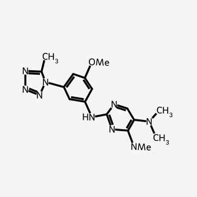 CNc1nc(Nc2cc(OC)cc(-n3nnnc3C)c2)ncc1N(C)C